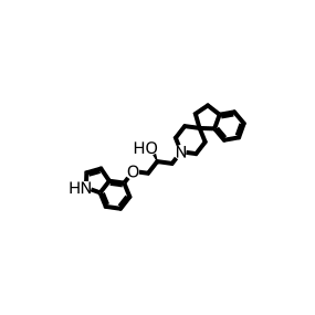 O[C@H](COc1cccc2[nH]ccc12)CN1CCC2(CCc3ccccc32)CC1